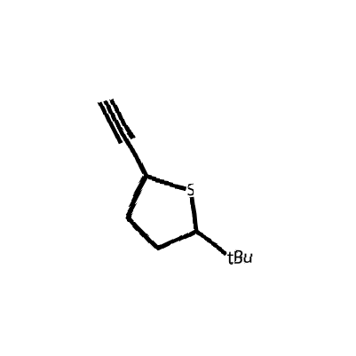 C#CC1CCC(C(C)(C)C)S1